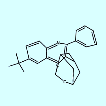 CC(C)(C)c1ccc2nc(-c3ccccc3)c3c(c2c1)C1CC2CC(CC3C2)C1